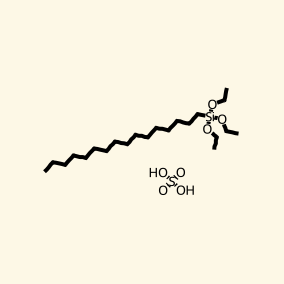 CCCCCCCCCCCCCCCC[Si](OCC)(OCC)OCC.O=S(=O)(O)O